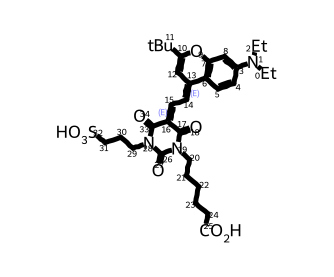 CCN(CC)c1ccc2c(c1)OC(C(C)(C)C)=C/C2=C\C=C1/C(=O)N(CCCCCC(=O)O)C(=O)N(CCCS(=O)(=O)O)C1=O